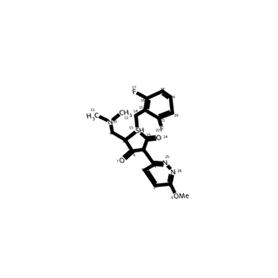 COc1ccc(C2C(=O)C(CN(C)C)[SH](Cc3c(F)cccc3F)C2=O)nn1